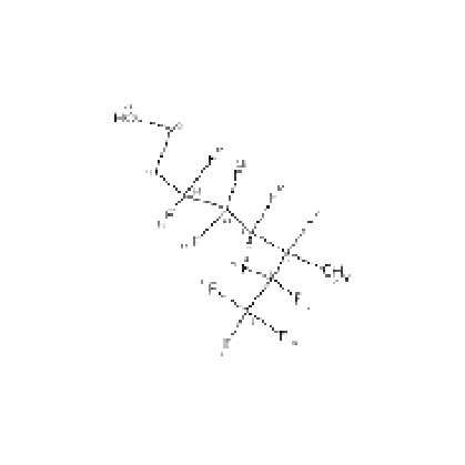 CC(F)(C(F)(F)C(F)(F)F)C(F)(F)C(F)(F)C(F)(F)CCO